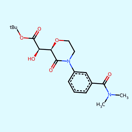 CN(C)C(=O)c1cccc(N2CCO[C@H]([C@@H](O)C(=O)OC(C)(C)C)C2=O)c1